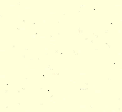 C[C@@H]1CC[C@H](Cc2c(-c3ccccc3)[nH]c3ccccc23)N1C